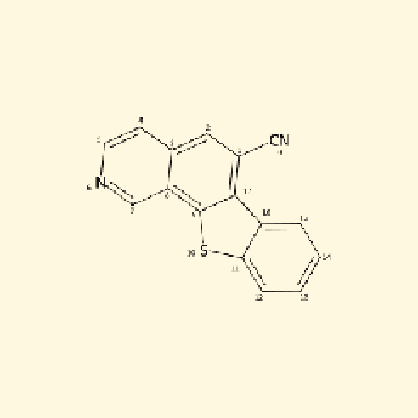 N#Cc1cc2ccncc2c2sc3ccccc3c12